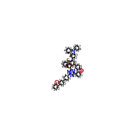 c1ccc(-c2nc(-c3ccc(-c4ccc5c(c4)oc4ccccc45)cc3)nc(-c3cccc4oc5ccc(-c6cc(-c7ccc8c(c7)c7ccccc7n8-c7ccccc7)c7sc8ccccc8c7c6)cc5c34)n2)cc1